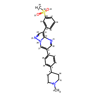 CN1CCC(c2ccc(-c3cnc4c(-c5cccc(S(C)(=O)=O)c5)cnn4c3)cc2)CC1